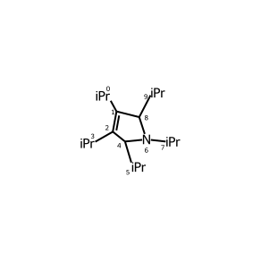 CC(C)C1=C(C(C)C)C(C(C)C)N(C(C)C)C1C(C)C